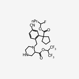 CCCC(F)OC(=O)C1(c2cc(C#N)ccc2CN2CCNCC2C(=O)OC(C(F)(F)F)C(F)(F)F)CCCC1